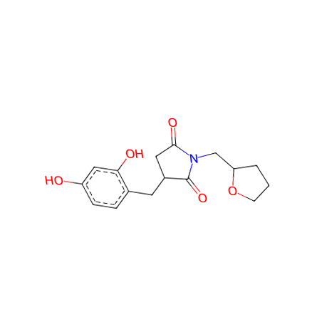 O=C1CC(Cc2ccc(O)cc2O)C(=O)N1CC1CCCO1